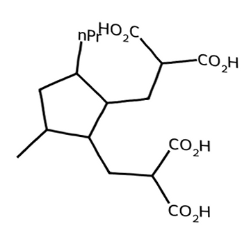 CCCC1CC(C)C(CC(C(=O)O)C(=O)O)C1CC(C(=O)O)C(=O)O